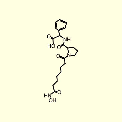 O=C(CCCCCCC(=O)N1CCCC1C(=O)NC(C(=O)O)c1ccccc1)NO